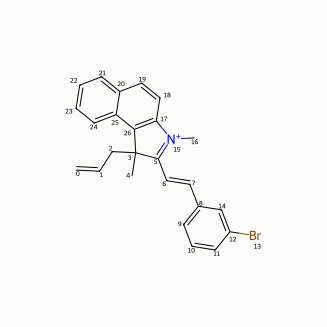 C=CCC1(C)C(/C=C/c2cccc(Br)c2)=[N+](C)c2ccc3ccccc3c21